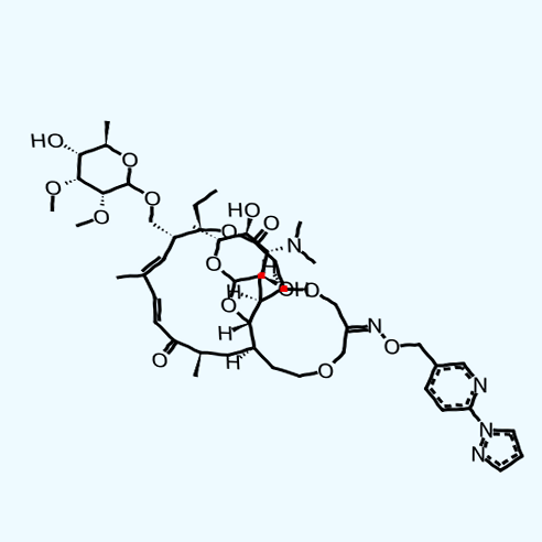 CC[C@H]1OC(=O)C[C@H]2OC/C(=N/OCc3ccc(-n4cccn4)nc3)COCC[C@@H](C[C@@H](C)C(=O)/C=C/C(C)=C/[C@@H]1COC1O[C@H](C)[C@@H](O)[C@@H](OC)[C@H]1OC)[C@H](OC1O[C@H](C)[C@@H](O)[C@H](N(C)C)[C@H]1O)[C@H]2C